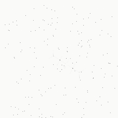 O=P(O)(C(Cl)(Cl)C(O)Cl)C(Cl)(Cl)C(O)Cl